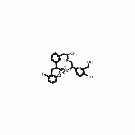 C[C@H](Cc1cccc(C(Cc2c(F)cccc2Cl)C(N)=O)c1)NCC(O)c1ccc(O)c(CO)n1